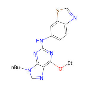 CCCCn1cnc2c(OCC)nc(Nc3ccc4ncsc4c3)nc21